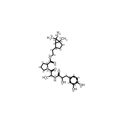 CC(NC(=O)C(O)Cc1ccc(O)c(O)c1)C(=O)N1CCCC1C(=O)OCCC1CCC2(C)C1C2(C)C